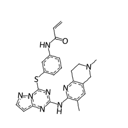 C=CC(=O)Nc1cccc(Sc2nc(Nc3nc4c(cc3C)CN(C)CC4)nc3ccnn23)c1